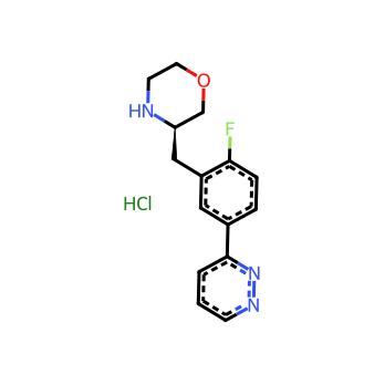 Cl.Fc1ccc(-c2cccnn2)cc1C[C@@H]1COCCN1